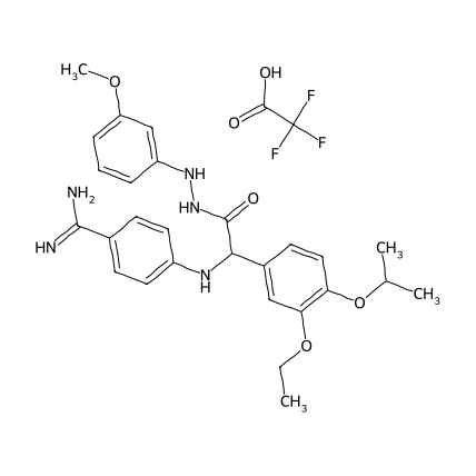 CCOc1cc(C(Nc2ccc(C(=N)N)cc2)C(=O)NNc2cccc(OC)c2)ccc1OC(C)C.O=C(O)C(F)(F)F